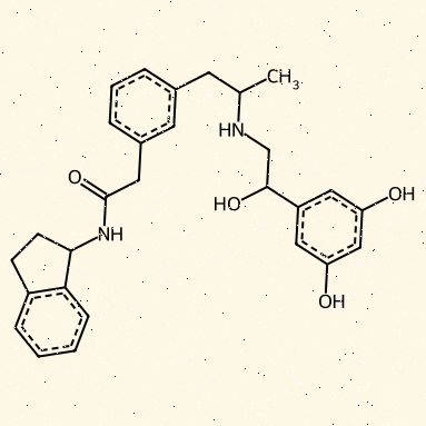 CC(Cc1cccc(CC(=O)NC2CCc3ccccc32)c1)NCC(O)c1cc(O)cc(O)c1